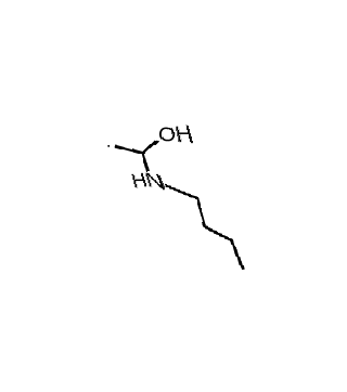 [CH2]C(O)NCCCC